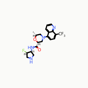 C[C@@H]1CN(c2ccc(C(F)(F)F)c3ncccc23)C[C@H](C(=O)N[C@H]2CNC[C@H]2F)O1